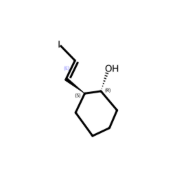 O[C@@H]1CCCC[C@H]1/C=C/I